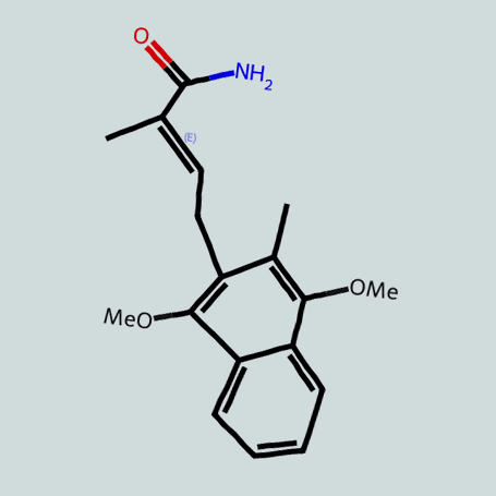 COc1c(C)c(C/C=C(\C)C(N)=O)c(OC)c2ccccc12